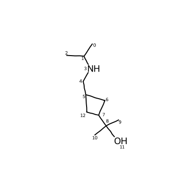 CC(C)NCC1CC(C(C)(C)O)C1